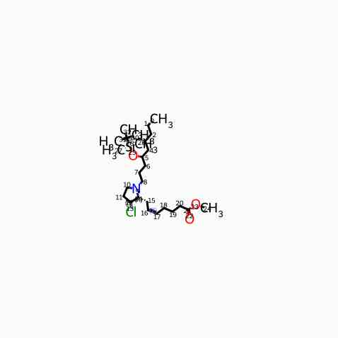 CCCCCC(CCCN1CC[C@@H](Cl)[C@H]1C/C=C\CCCC(=O)OC)O[Si](C)(C)C(C)(C)C